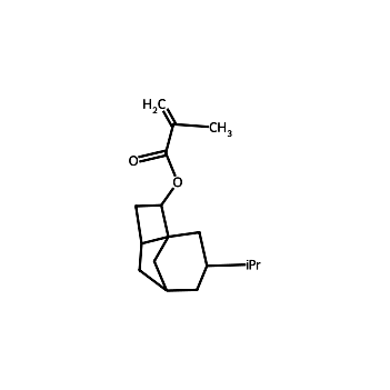 C=C(C)C(=O)OC1CC2CC3CC(C(C)C)CC21C3